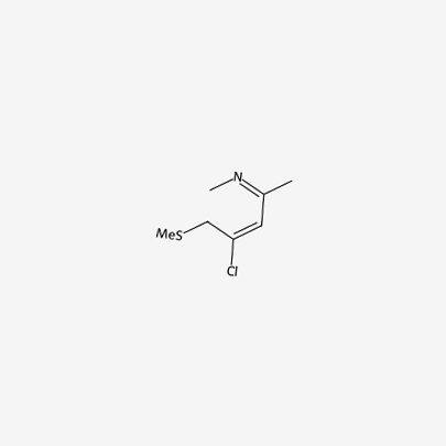 C/N=C(C)\C=C(\Cl)CSC